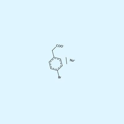 CC.O=C([O-])Cc1ccc(Br)cc1.[Na+]